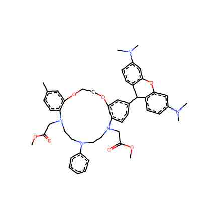 COC(=O)CN1CCN(c2ccccc2)CCN(CC(=O)OC)c2ccc(C3c4ccc(N(C)C)cc4Oc4cc(N(C)C)ccc43)cc2OCCOc2cc(C)ccc21